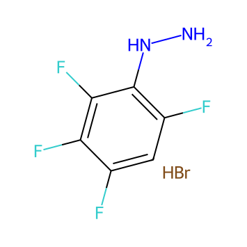 Br.NNc1c(F)cc(F)c(F)c1F